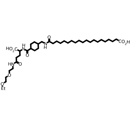 CCOCCOCCNC(=O)CCC(NC(=O)C1CCC(CNC(=O)CCCCCCCCCCCCCCCCCCC(=O)O)CC1)C(=O)O